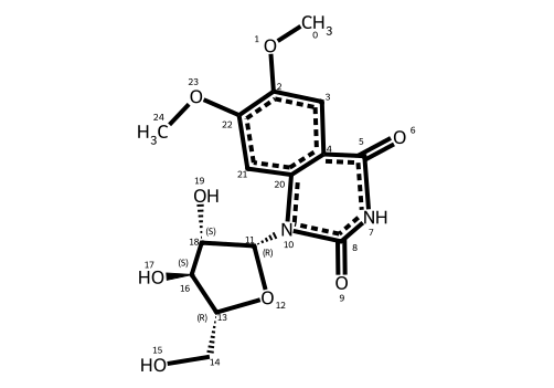 COc1cc2c(=O)[nH]c(=O)n([C@@H]3O[C@H](CO)[C@@H](O)[C@@H]3O)c2cc1OC